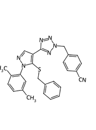 Cc1ccc(C)c(-n2ncc(-c3nnn(Cc4ccc(C#N)cc4)n3)c2SCc2ccccc2)c1